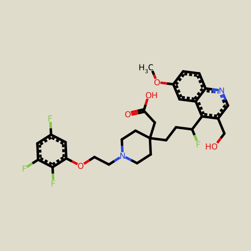 COc1ccc2ncc(CO)c(C(F)CCC3(CC(=O)O)CCN(CCOc4cc(F)cc(F)c4F)CC3)c2c1